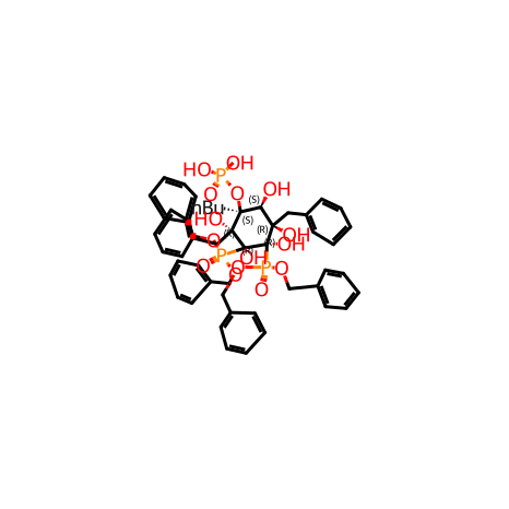 CCCC[C@]1(OP(=O)(O)O)[C@@H](O)[C@](O)(Cc2ccccc2)[C@@](O)(P(=O)(OCc2ccccc2)OCc2ccccc2)[C@](O)(P(=O)(OCc2ccccc2)OCc2ccccc2)[C@@]1(O)Cc1ccccc1